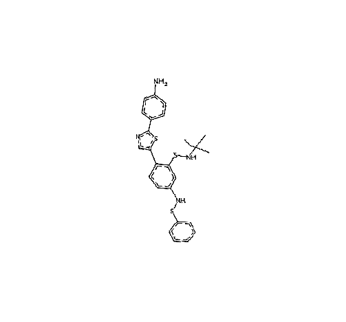 CC(C)(C)NSc1cc(NSc2ccccc2)ccc1-c1cnc(-c2ccc(N)cc2)s1